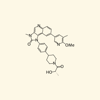 COc1ncc(-c2ccc3ncc4c(c3c2)n(-c2ccc(C3CCN(C(=O)[C@H](C)O)CC3)cc2)c(=O)n4C)cc1C